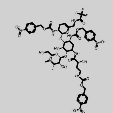 CN[C@@H](C)[C@@H](O)[C@H](OCCO)O[C@@H]1[C@@H](O)[C@H](O[C@H]2OC(CNC(=O)C(F)(F)F)=CC[C@H]2NC(=O)OCc2ccc([N+](=O)[O-])cc2)[C@@H](NC(=O)OCc2ccc([N+](=O)[O-])cc2)C[C@H]1NC(=O)[C@@H](O)CCNC(=O)OCc1ccc([N+](=O)[O-])cc1